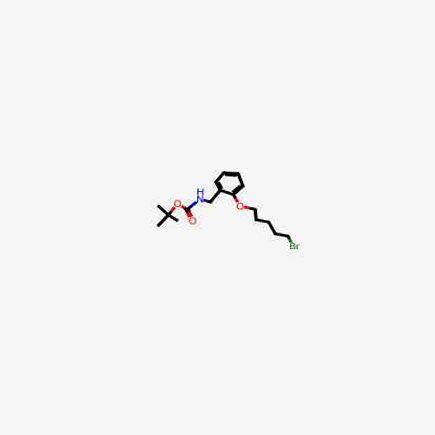 CC(C)(C)OC(=O)NCc1ccccc1OCCCCCBr